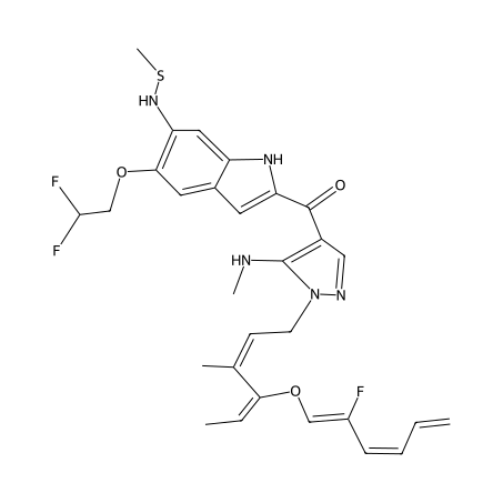 C=C/C=C\C(F)=C\OC(=C/C)/C(C)=C\Cn1ncc(C(=O)c2cc3cc(OCC(F)F)c(NSC)cc3[nH]2)c1NC